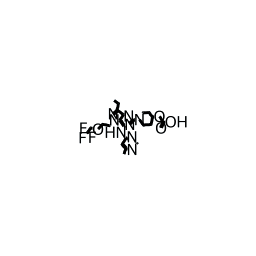 CCc1nn(CCOCC(F)(F)F)c2c(Nc3cc(C)ncn3)nc(N3CCC(OC(=O)O)CC3)nc12